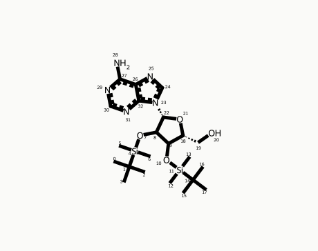 CC(C)(C)[Si](C)(C)OC1C(O[Si](C)(C)C(C)(C)C)[C@@H](CO)O[C@H]1n1cnc2c(N)ncnc21